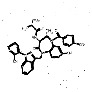 CN[C@@H](C)C(=O)N[C@@H]1C(=O)N(Cc2nn(-c3ccccc3C#N)c3ccccc23)c2ccc(C#N)cc2N(C(=O)c2ccc(C#N)cc2)[C@H]1C